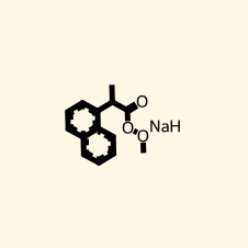 COOC(=O)C(C)c1cccc2ccccc12.[NaH]